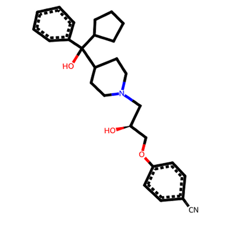 N#Cc1ccc(OC[C@@H](O)CN2CCC(C(O)(c3ccccc3)C3CCCC3)CC2)cc1